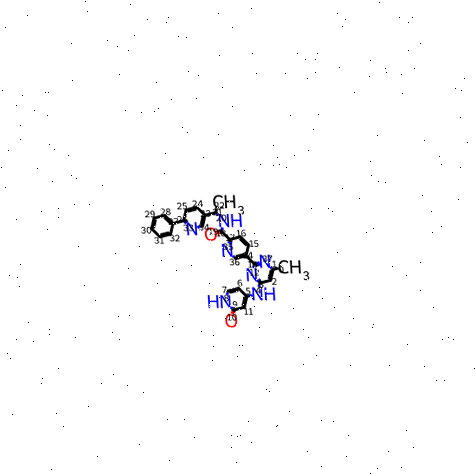 Cc1cc(Nc2cc[nH]c(=O)c2)nc(-c2ccc(C(=O)NC(C)c3ccc(-c4ccccc4)nc3)nc2)n1